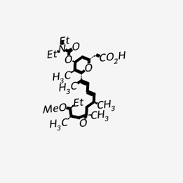 CC[C@H](OC)[C@@H](C)[C@H]1O[C@]1(C)C[C@H](C)/C=C/C=C(\C)[C@H]1O[C@@H](CC(=O)O)C[C@@H](OC(=O)N(CC)CC)[C@@H]1C